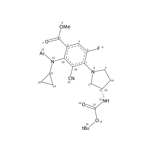 COC(=O)c1cc(F)c(N2CC[C@H](NC(=O)OC(C)(C)C)C2)c(C#N)c1N(C(C)=O)C1CC1